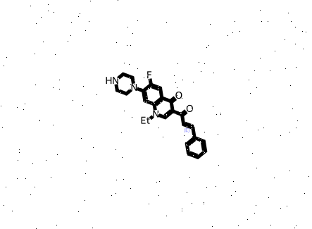 CCn1cc(C(=O)/C=C/c2ccccc2)c(=O)c2cc(F)c(N3CCNCC3)cc21